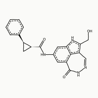 O=C1NN=Cc2c(CO)[nH]c3cc(NC(=O)[C@@H]4C[C@H]4c4ccccc4)cc1c23